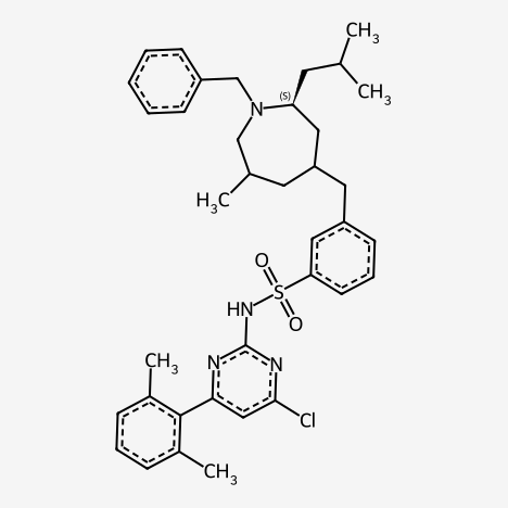 Cc1cccc(C)c1-c1cc(Cl)nc(NS(=O)(=O)c2cccc(CC3CC(C)CN(Cc4ccccc4)[C@@H](CC(C)C)C3)c2)n1